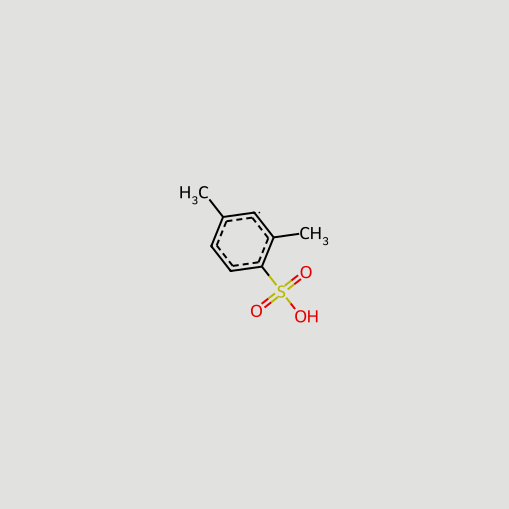 Cc1[c]c(C)c(S(=O)(=O)O)cc1